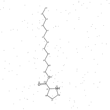 CCCCCCCCCCCCOC(=O)C1CCCN1